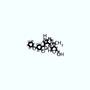 CO[C@@H]1C[C@@H](CO)OC[C@@H]1Nc1ncnc2[nH]cc(C(=O)c3ccc(Oc4ccccc4)cc3Cl)c12